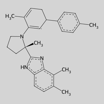 CC1=CCC(c2ccc(C)cc2)[C]=C1N1CCC[C@@]1(C)c1nc2c(C)c(C)ccc2[nH]1